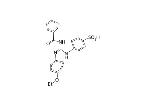 CCOc1ccc(/N=C(/NC(=O)c2ccccc2)Nc2ccc(S(=O)(=O)O)cc2)cc1